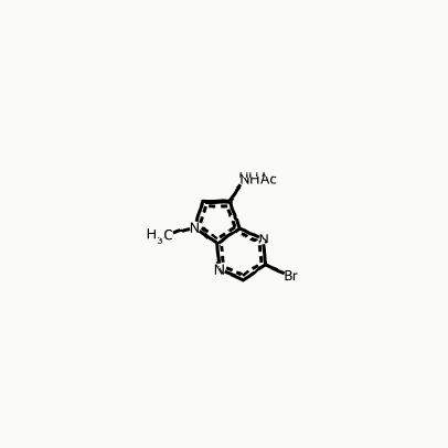 CC(=O)Nc1cn(C)c2ncc(Br)nc12